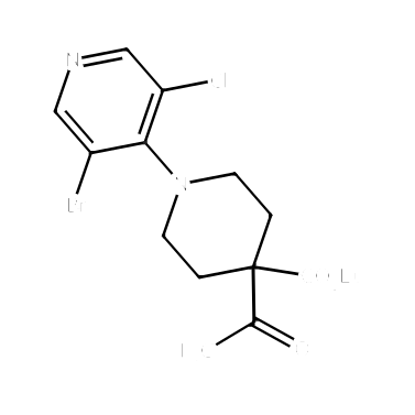 CCOC(=O)C1(C(=O)C(F)(F)F)CCN(c2c(Cl)cncc2Br)CC1